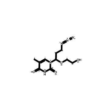 Cc1cn(C(CCN=[N+]=[N-])OCCO)c(=O)[nH]c1=O